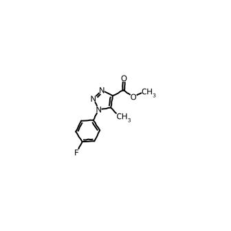 COC(=O)c1nnn(-c2ccc(F)cc2)c1C